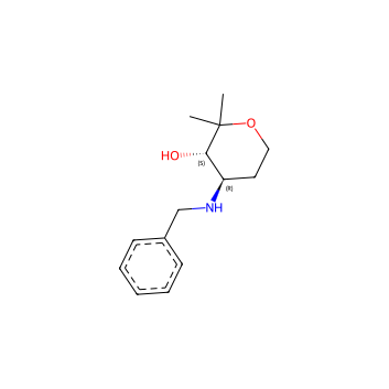 CC1(C)OCC[C@@H](NCc2ccccc2)[C@@H]1O